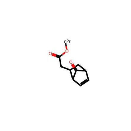 CCCOC(=O)CC1CC2C=CC1C2=O